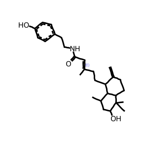 C=C1CCC2C(C(C)CC(O)C2(C)C)C1CC/C(C)=C/C(=O)NCCc1ccc(O)cc1